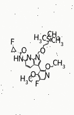 CCOc1ncc(F)c(OC)c1-c1cn(COCC[Si](C)(C)C)c2nc(NC(=O)[C@@H]3C[C@@H]3F)ccc12